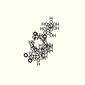 CCC(c1ccccc1)C1NC(=O)CNC(=O)C(CO)NC(=O)C(C(O)C2CNC(=N)N2C2OC(COC(=O)C(c3ccccc3)c3ccccc3)C(O)C(O)C2O)NC(=O)C(C(O)C2CNC(=N)N2)NC(=O)C(Cc2ccc(OC3OC(CO)C(OC4OC(CO)C(O)C(O)C4O)C(O)C3O)cc2)NC1=O